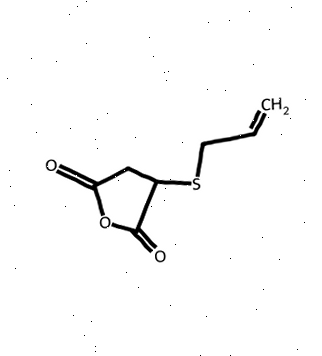 C=CCSC1CC(=O)OC1=O